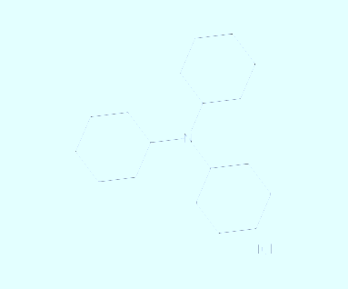 C1CCC(N(C2CCCCC2)C2CCCCC2)CC1.Cl